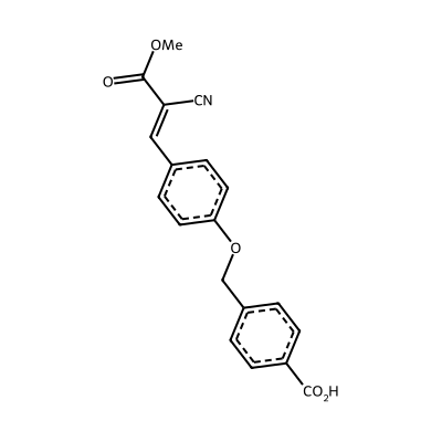 COC(=O)/C(C#N)=C/c1ccc(OCc2ccc(C(=O)O)cc2)cc1